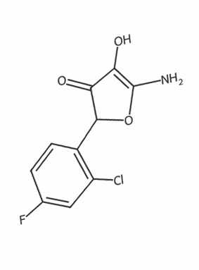 NC1=C(O)C(=O)C(c2ccc(F)cc2Cl)O1